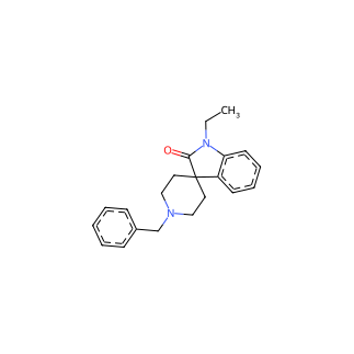 CCN1C(=O)C2(CCN(Cc3ccccc3)CC2)c2ccccc21